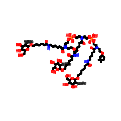 CC(=O)NC1C(OCCCCCC(=O)NCCCCCC(=O)N(CCO)CCOP(=O)(O)OCCN(CCOP(=O)(O)OCCN(CCOC2CCC(C)(C)C2)C(=O)CCCCCNC(=O)CCCCCOC2OC(CO)C(O)C(O)C2NC(C)=O)C(=O)CCCCCNC(=O)CCCCCOC2OC(CO)C(O)C(O)C2NC(C)=O)OC(CO)C(O)C1O